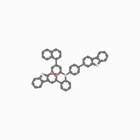 c1cc(-c2cccc3ccccc23)cc(N(c2ccc(-c3ccc4c(c3)oc3ccccc34)cc2)c2ccccc2-c2ccc3oc4ccccc4c3c2)c1